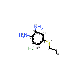 CCCSc1ccc(N)c(N)c1.Cl